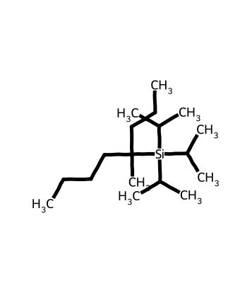 CCCCC(C)(CCC)[Si](C(C)C)(C(C)C)C(C)C